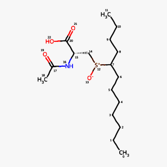 CCCCCCCC(CCCC)[S+]([O-])C[C@H](NC(C)=O)C(=O)O